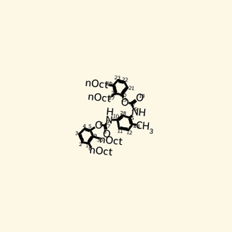 CCCCCCCCc1cccc(OC(=O)Nc2ccc(C)c(NC(=O)Oc3cccc(CCCCCCCC)c3CCCCCCCC)c2)c1CCCCCCCC